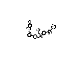 Fc1cc(Cl)ccc1COc1cccc(C2CCN(Cc3nc4cc(-n5cc(C6CCCOC6)nn5)ccc4n3C[C@@H]3CCO3)CC2)n1